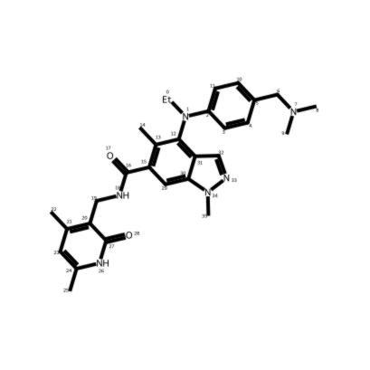 CCN(c1ccc(CN(C)C)cc1)c1c(C)c(C(=O)NCc2c(C)cc(C)[nH]c2=O)cc2c1cnn2C